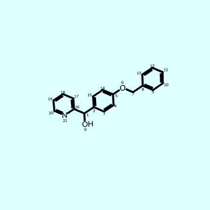 OC(c1ccc(OCc2ccccc2)cc1)c1ccccn1